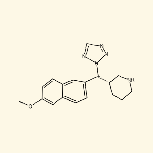 COc1ccc2cc(C([C@H]3CCCNC3)n3ncnn3)ccc2c1